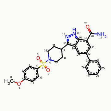 COc1ccc(S(=O)(=O)N2CCC(c3n[nH]c4c(C(N)=O)cc(-c5ccccc5)cc34)CC2)cc1